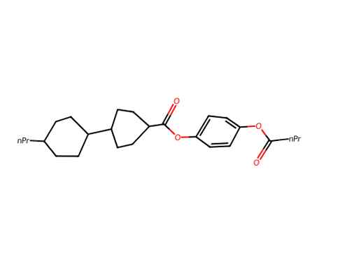 CCCC(=O)Oc1ccc(OC(=O)C2CCC(C3CCC(CCC)CC3)CC2)cc1